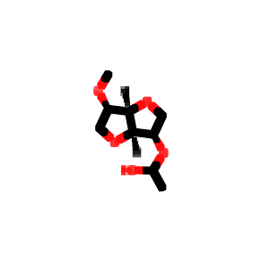 CO[C@@H]1CO[C@H]2[C@@H]1OC[C@H]2OC(C)O